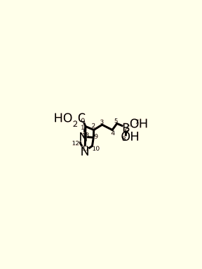 O=C(O)C12C(CCCB(O)O)C3CN1CN32